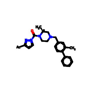 CC(=O)c1ccn(C(=O)N2CCN(Cc3ccc(-c4ccccc4)c(C)c3)C[C@H]2C)n1